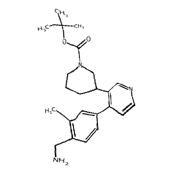 Cc1cc(-c2ccncc2C2CCCN(C(=O)OC(C)(C)C)C2)ccc1CN